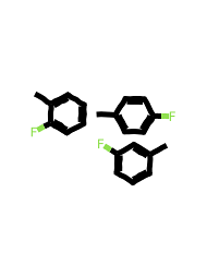 Cc1ccc(F)cc1.Cc1cccc(F)c1.Cc1ccccc1F